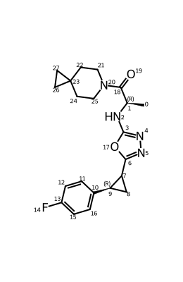 C[C@@H](Nc1nnc(C2C[C@H]2c2ccc(F)cc2)o1)C(=O)N1CCC2(CC1)CC2